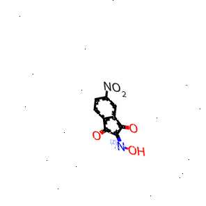 O=c1/c(=N/O)c(=O)c2cc([N+](=O)[O-])ccc12